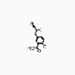 N#CC(Cl)Cc1ccc(Cl)c(C(=O)O)c1